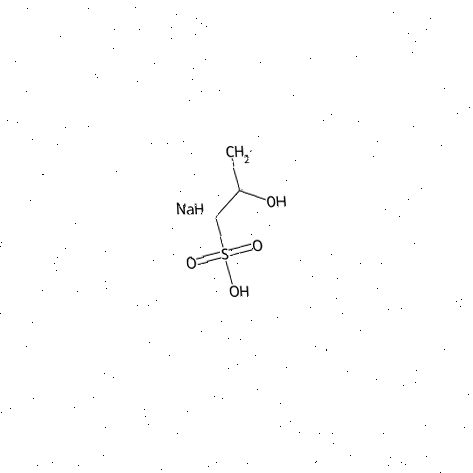 [CH2]C(O)CS(=O)(=O)O.[NaH]